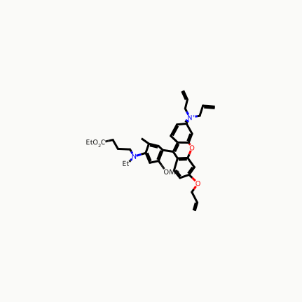 C=CCOc1ccc2c(-c3cc(C)c(N(CC)CCCC(=O)OCC)cc3OC)c3ccc(=[N+](CC=C)CC=C)cc-3oc2c1